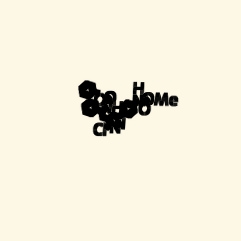 COC(=O)Nc1ccc(-c2cc(CC(NC(=O)OCc3ccccc3)c3ccccc3)c(Cl)nn2)cc1